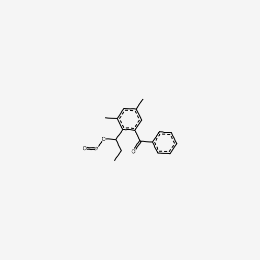 CCC(OP=O)c1c(C)cc(C)cc1C(=O)c1ccccc1